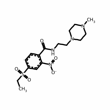 CCS(=O)(=O)c1[c]cc(C(=O)NCCN2CCN(C)CC2)c([N+](=O)[O-])c1